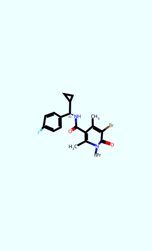 CCCn1c(C)c(C(=O)N[C@H](c2ccc(F)cc2)C2CC2)c(C)c(Br)c1=O